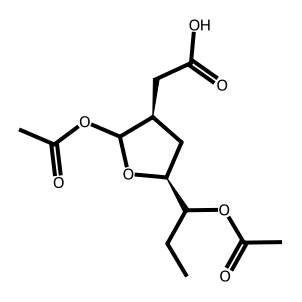 CCC(OC(C)=O)[C@@H]1C[C@H](CC(=O)O)C(OC(C)=O)O1